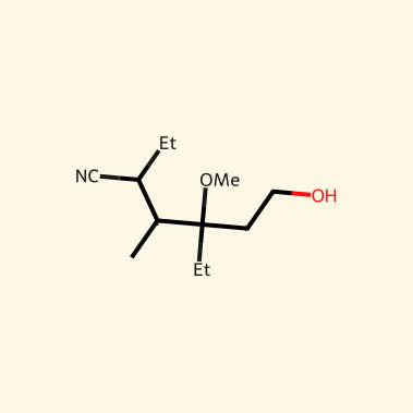 CCC(C#N)[C](C)C(CC)(CCO)OC